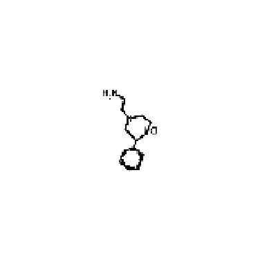 Cl.NCCN1CCCC(c2ccccc2)C1